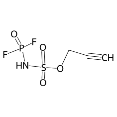 C#CCOS(=O)(=O)NP(=O)(F)F